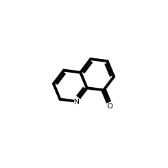 O=C1C=CC=C2C=CCN=C12